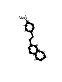 COc1ccc(CCc2ccc3ccccc3c2)cc1